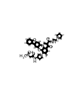 CN(C)CC(=O)N[C@@H]1CCN(c2c(F)cc3c(=O)c(C(=O)NCCN4CCCC4)cn4c3c2Oc2cc3c(cc2-4)oc2ccccc23)C1